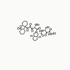 CCC[C@H](NC(=O)[C@@H]1[C@H]2CCC[C@H]2CN1C(=O)[C@@H](NC(=O)NC1([C@H]2CCCCS2(=O)=O)CCCCC1)C(C)(C)C)C(=O)C(=O)NCC